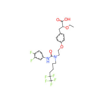 CCOC(Cc1ccc(OCCN(CCCCC(F)(F)C(F)(F)F)C(=O)Nc2ccc(F)c(F)c2)cc1)C(=O)O